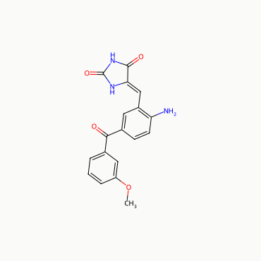 COc1cccc(C(=O)c2ccc(N)c(/C=C3\NC(=O)NC3=O)c2)c1